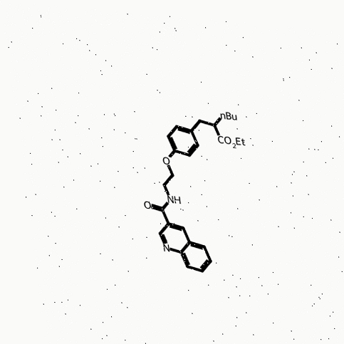 CCCCC(Cc1ccc(OCCNC(=O)c2cnc3ccccc3c2)cc1)C(=O)OCC